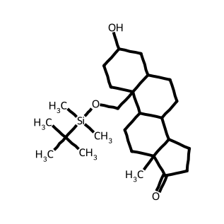 CC12CCC3C(CCC4CC(O)CCC43CO[Si](C)(C)C(C)(C)C)C1CCC2=O